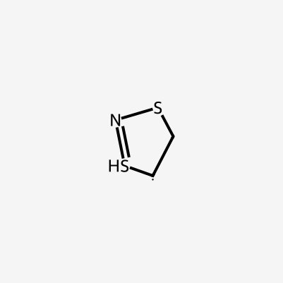 [CH]1CSN=[SH]1